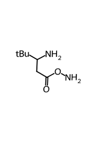 CC(C)(C)C(N)CC(=O)ON